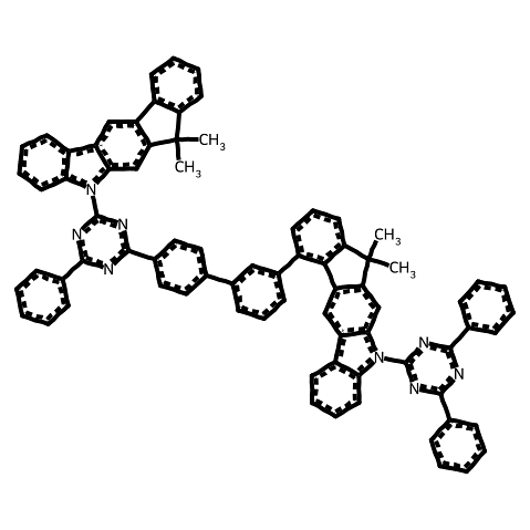 CC1(C)c2ccccc2-c2cc3c4ccccc4n(-c4nc(-c5ccccc5)nc(-c5ccc(-c6cccc(-c7cccc8c7-c7cc9c%10ccccc%10n(-c%10nc(-c%11ccccc%11)nc(-c%11ccccc%11)n%10)c9cc7C8(C)C)c6)cc5)n4)c3cc21